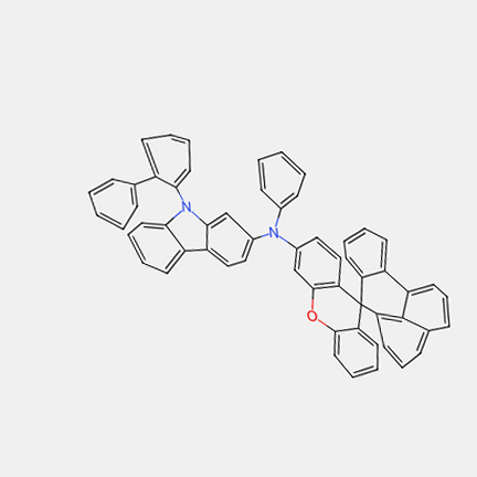 c1ccc(-c2ccccc2-n2c3ccccc3c3ccc(N(c4ccccc4)c4ccc5c(c4)Oc4ccccc4C54c5ccccc5-c5cccc6cccc4c56)cc32)cc1